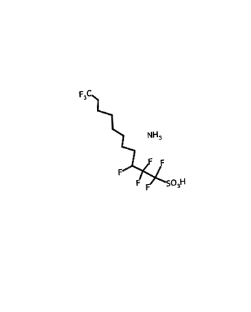 N.O=S(=O)(O)C(F)(F)C(F)(F)C(F)CCCCCCCC(F)(F)F